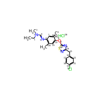 CCN(C)C=Nc1cc(C)c(Oc2nc(Cc3ccc(Cl)cc3)ns2)cc1C.Cl